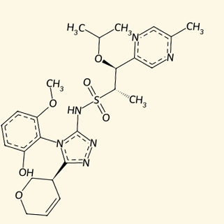 COc1cccc(O)c1-n1c(NS(=O)(=O)[C@@H](C)[C@@H](OC(C)C)c2cnc(C)cn2)nnc1[C@H]1C=CCOC1